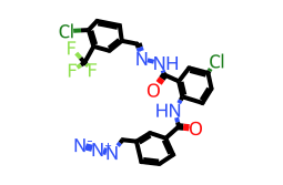 [N-]=[N+]=NCc1cccc(C(=O)Nc2ccc(Cl)cc2C(=O)N/N=C/c2ccc(Cl)c(C(F)(F)F)c2)c1